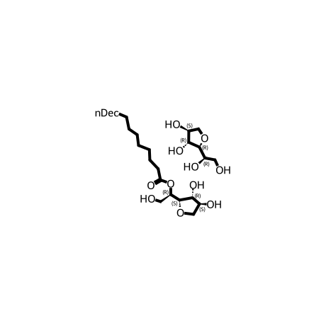 CCCCCCCCCCCCCCCCCC(=O)O[C@H](CO)[C@H]1OC[C@H](O)[C@H]1O.OC[C@@H](O)[C@H]1OC[C@H](O)[C@H]1O